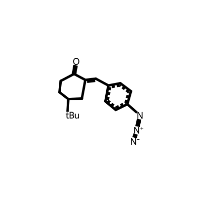 CC(C)(C)C1CCC(=O)C(=Cc2ccc(N=[N+]=[N-])cc2)C1